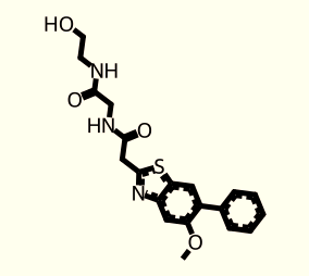 COc1cc2nc(CC(=O)NCC(=O)NCCO)sc2cc1-c1ccccc1